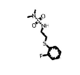 CN(C)S(=O)(=O)NCCSc1cc[c]cc1F